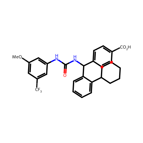 COc1cc(NC(=O)NC(c2ccc(C(=O)O)cc2)c2ccccc2C2CCCCC2)cc(C(F)(F)F)c1